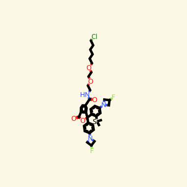 C[Si]1(C)c2cc(N3CC(F)C3)ccc2C2(OC(=O)c3ccc(C(=O)NCCOCCOCCCCCCCl)cc32)c2ccc(N3CC(F)C3)cc21